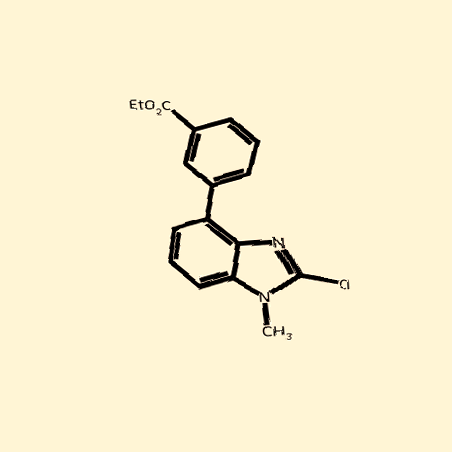 CCOC(=O)c1cccc(-c2cccc3c2nc(Cl)n3C)c1